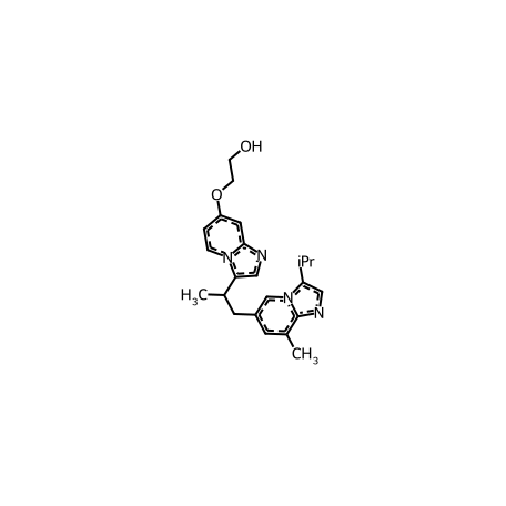 Cc1cc(CC(C)c2cnc3cc(OCCO)ccn23)cn2c(C(C)C)cnc12